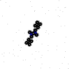 c1ccc2c(c1)-c1ccccc1C21c2ccccc2-c2ccc(-c3ccc4c5c6c7ccccc7n7c8cc(-c9ccc%10c(c9)C9(c%11ccccc%11-c%11ccccc%119)c9ccccc9-%10)ccc8c(c8c9ccccc9n(c4c3)c85)c67)cc21